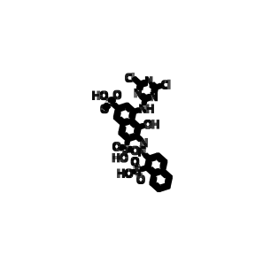 O=S(=O)(O)c1cc(Nc2nc(Cl)nc(Cl)n2)c2c(O)c(/N=N/c3ccc4ccccc4c3S(=O)(=O)O)c(S(=O)(=O)O)cc2c1